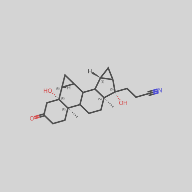 C[C@]12CCC3C(C4C[C@H]4[C@]4(O)CC(=O)CC[C@]34C)C1[C@@H]1CC1[C@@]2(O)CCC#N